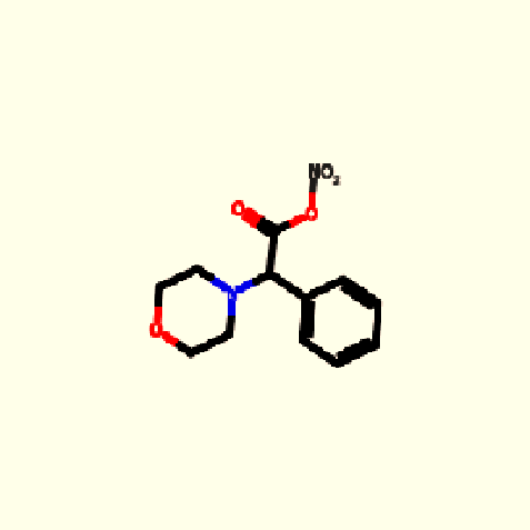 O=C(O[N+](=O)[O-])C(c1ccccc1)N1CCOCC1